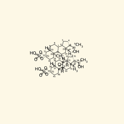 C[C@H](O)[C@H]1CCC2C3CC[C@H]4C[C@@H](OS(=O)(=O)O)CC[C@]4(C)C3CC[C@@]21C.C[C@H](O)[C@H]1CC[C@H]2[C@@H]3CC[C@H]4C[C@@H](OS(=O)(=O)O)CC[C@]4(C)[C@H]3CC[C@]12C